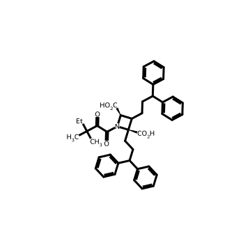 CCC(C)(C)C(=O)C(=O)N1[C@@H](C(=O)O)C(CCC(c2ccccc2)c2ccccc2)[C@@]1(CCC(c1ccccc1)c1ccccc1)C(=O)O